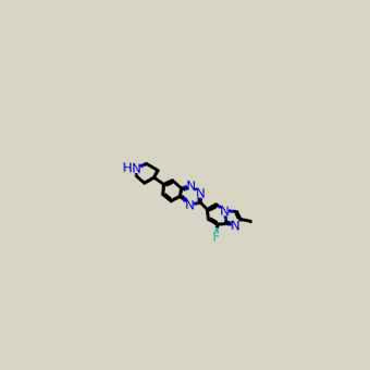 Cc1cn2cc(-c3nnc4cc(C5CCNCC5)ccc4n3)cc(F)c2n1